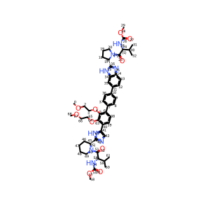 COCCOc1c(-c2ccc(-c3ccc4nc([C@@H]5CCCN5C(=O)[C@@H](NC(=O)OC)C(C)C)[nH]c4c3)cc2)ccc(-c2cnc([C@@H]3CCCCN3C(=O)[C@@H](NC(=O)OC)C(C)C)[nH]2)c1OCCOC